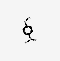 [CH2]CC[S+]([O-])c1ccc(OC(C)C)cc1